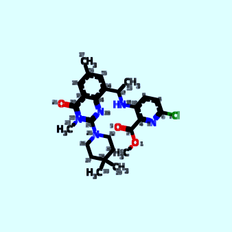 COC(=O)c1nc(Cl)ccc1NC(C)c1cc(C)cc2c(=O)n(C)c(N3CCC(C)(C)CC3)nc12